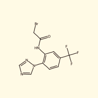 O=C(CBr)Nc1cc(C(F)(F)F)ccc1-n1cncn1